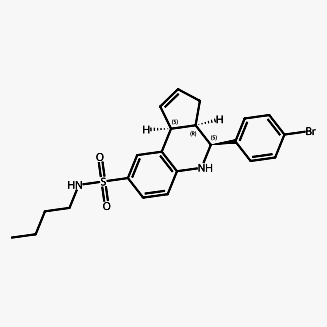 CCCCNS(=O)(=O)c1ccc2c(c1)[C@H]1C=CC[C@H]1[C@@H](c1ccc(Br)cc1)N2